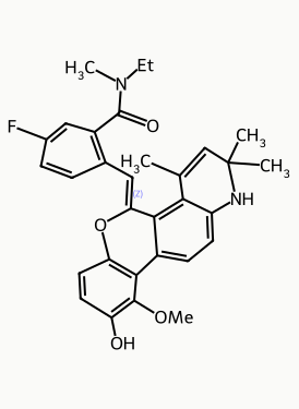 CCN(C)C(=O)c1cc(F)ccc1/C=C1\Oc2ccc(O)c(OC)c2-c2ccc3c(c21)C(C)=CC(C)(C)N3